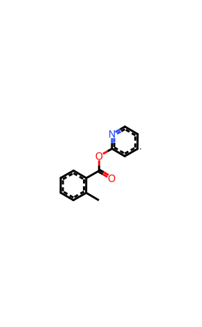 Cc1ccccc1C(=O)Oc1c[c]ccn1